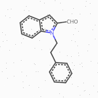 O=Cc1cc2ccccc2n1CCc1ccccc1